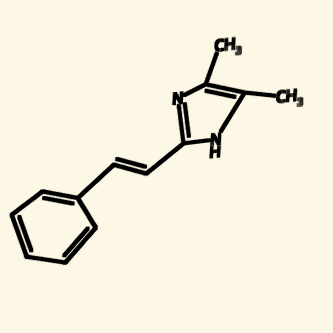 Cc1nc(C=Cc2ccccc2)[nH]c1C